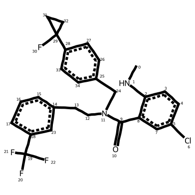 CNc1ccc(Cl)cc1C(=O)N(CCc1cccc(C(F)(F)F)c1)Cc1ccc(C2(F)CC2)cc1